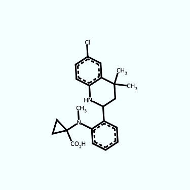 CN(c1ccccc1C1CC(C)(C)c2cc(Cl)ccc2N1)C1(C(=O)O)CC1